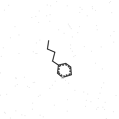 CCC[CH]c1cccnc1